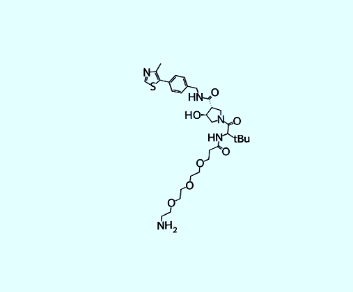 Cc1ncsc1-c1ccc(CNC(=O)[C@@H]2CN(C(=O)C(NC(=O)CCOCCOCCOCCN)C(C)(C)C)C[C@H]2O)cc1